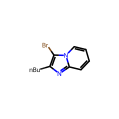 CCCCc1nc2ccccn2c1Br